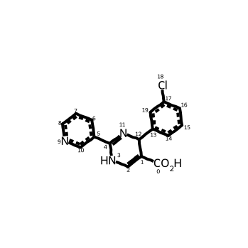 O=C(O)C1=CNC(c2cccnc2)=NC1c1cccc(Cl)c1